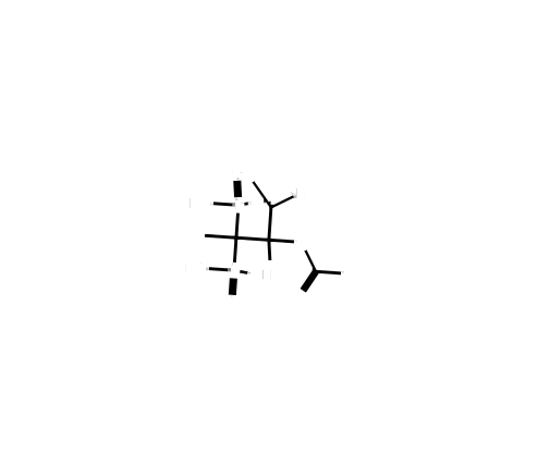 [2H]C(C)C(C)(OC(=O)O)C(C)(P(=O)(O)O)P(=O)(O)O